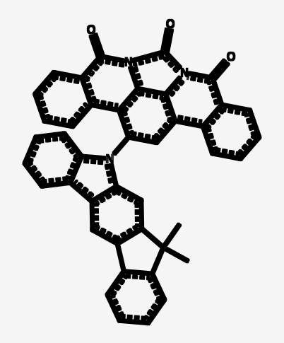 CC1(C)c2ccccc2-c2cc3c4ccccc4n(-c4cc5c6ccccc6c(=O)n6c(=O)n7c(=O)c8ccccc8c4c7c56)c3cc21